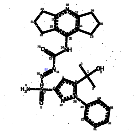 CC(C)(O)c1cc([SH](N)(=O)/N=N/C(=O)Nc2c3c(nc4c2CCC4)CCC3)nn1-c1ccccc1